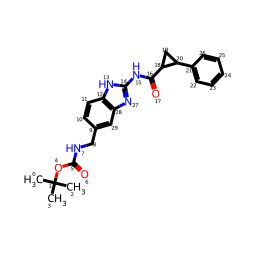 CC(C)(C)OC(=O)NCc1ccc2[nH]c(NC(=O)C3CC3c3ccccc3)nc2c1